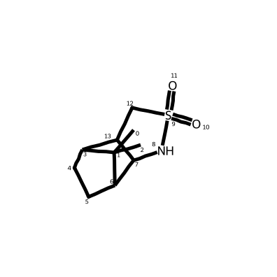 CC1(C)C2CCC1C1NS(=O)(=O)CC12